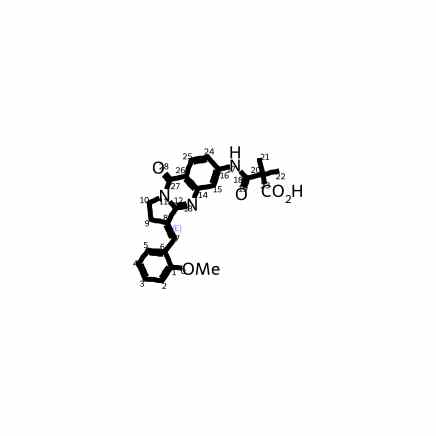 COc1ccccc1/C=C1\CCn2c1nc1cc(NC(=O)C(C)(C)C(=O)O)ccc1c2=O